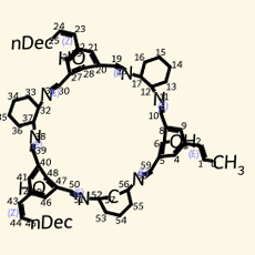 C/C=C/c1cc2c(O)c(c1)/C=N/C1CCCCC1/N=C/c1cc(/C=C\CCCCCCCCCC)cc(c1O)/C=N/C1CCCCC1/N=C/c1cc(/C=C\CCCCCCCCCC)cc(c1O)/C=N/C1CCCC(C1)/N=C/2